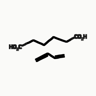 C=CC=C.O=C(O)CCCCC(=O)O